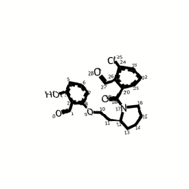 O=Cc1c(O)cccc1OCC[C@@H]1CCCCN1C(=O)c1cccc(Cl)c1C=O